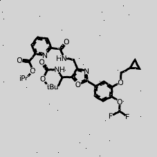 CC(C)OC(=O)c1cccc(C(=O)NCc2nc(-c3ccc(OC(F)F)c(OCC4CC4)c3)oc2C(C)NC(=O)OC(C)(C)C)n1